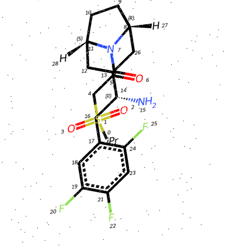 CC(C)S(=O)(=O)CC(=O)N1[C@@H]2CC[C@H]1CC([C@H](N)Cc1cc(F)c(F)cc1F)C2